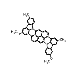 COc1ccc2c(c1)-c1cc(C)cc3c1B2c1cc2ccc4c5c(cc6ccc-3c1c6c25)B1c2ccc(C)cc2-c2cc(OC)cc-4c21